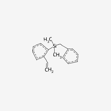 C=Cc1ccccc1[Si](C)(C)Cc1ccccc1